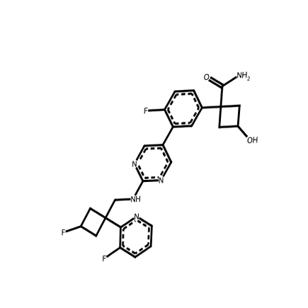 NC(=O)C1(c2ccc(F)c(-c3cnc(NCC4(c5ncccc5F)CC(F)C4)nc3)c2)CC(O)C1